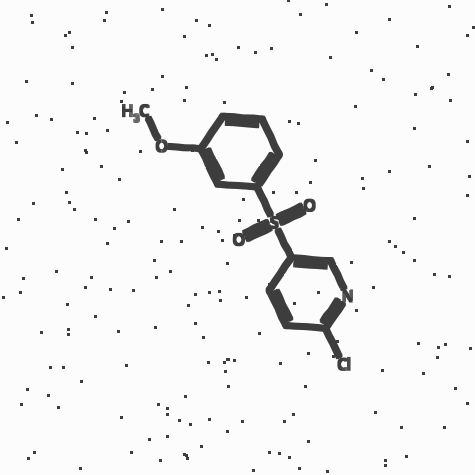 COc1cccc(S(=O)(=O)c2ccc(Cl)nc2)c1